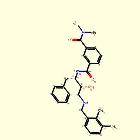 CCCN(CCC)C(=O)c1cccc(C(=O)N[C@@H](Cc2ccccc2)[C@H](O)CNCc2cccc(C)c2C)c1